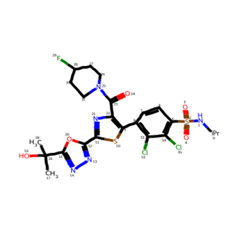 CC(C)NS(=O)(=O)c1ccc(-c2sc(-c3nnc(C(C)(C)O)o3)nc2C(=O)N2CCC(F)CC2)c(Cl)c1Cl